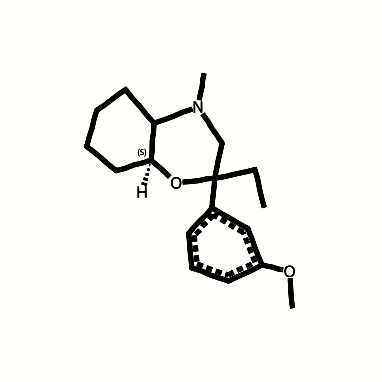 CCC1(c2cccc(OC)c2)CN(C)C2CCCC[C@@H]2O1